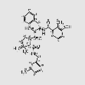 Cc1c(O)cccc1C(=O)N[C@@H](Cc1ccccc1)[C@H](O)C(=O)N1CSC(C)(C)[C@H]1C(=O)NCc1cccc(N)c1